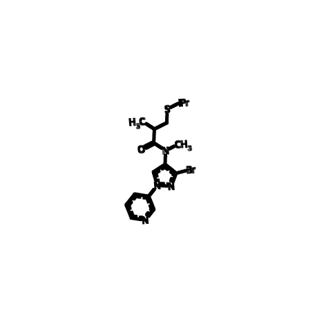 CC(C)SCC(C)C(=O)N(C)c1cn(-c2cccnc2)nc1Br